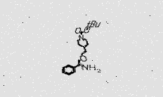 CC(C)(C)OC(=O)N1CCC(CCOC[C@H](N)c2ccccc2)CC1